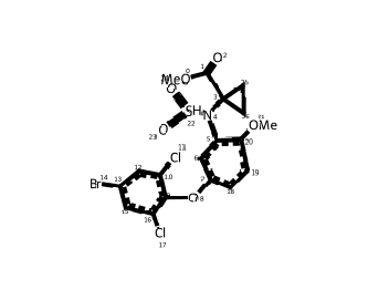 COC(=O)C1(N(c2cc(Oc3c(Cl)cc(Br)cc3Cl)ccc2OC)[SH](=O)=O)CC1